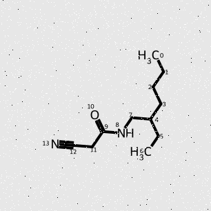 CCCCC(CC)CNC(=O)CC#N